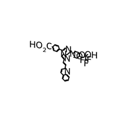 O=C(O)C(F)(F)F.O=C(O)c1ccc(-c2cnc(N3CCOCC3)c3nc(/C=C/c4ccc5ccccc5n4)cn23)cc1